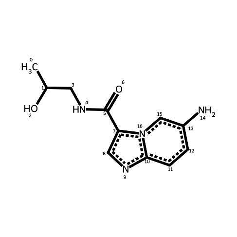 CC(O)CNC(=O)c1cnc2ccc(N)cn12